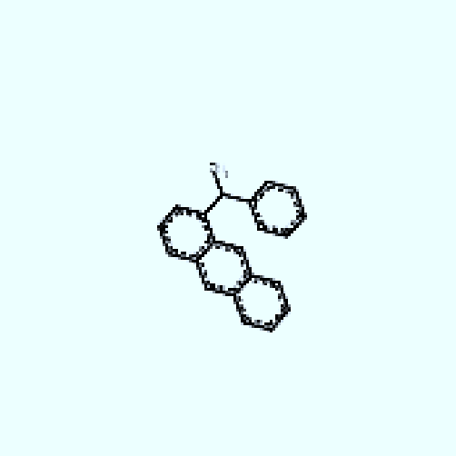 CC(c1ccccc1)c1cccc2cc3ccccc3cc12